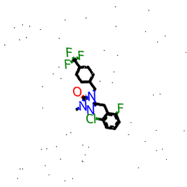 Cn1nc(Cc2c(F)cccc2Cl)n(CC2CCC(C(F)(F)F)CC2)c1=O